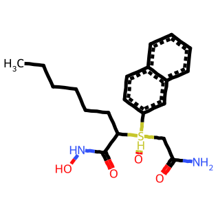 CCCCCCC(C(=O)NO)[SH](=O)(CC(N)=O)c1ccc2ccccc2c1